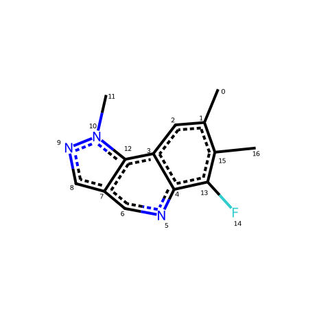 Cc1cc2c(ncc3cnn(C)c32)c(F)c1C